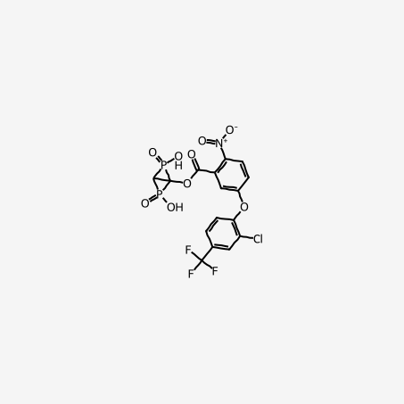 O=C(OC12C(P1(=O)O)P2(=O)O)c1cc(Oc2ccc(C(F)(F)F)cc2Cl)ccc1[N+](=O)[O-]